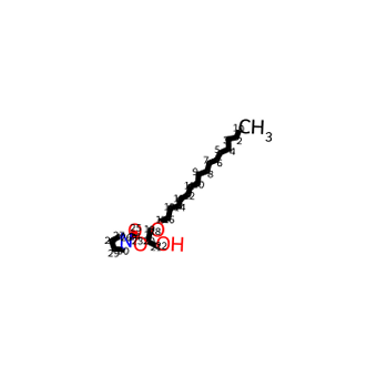 CCCCCCCCCCCCCCCCCCOCC(CO)OC(=O)N1CCCC1